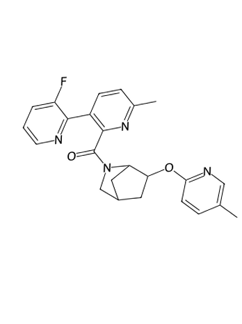 Cc1ccc(OC2CC3CC2N(C(=O)c2nc(C)ccc2-c2ncccc2F)C3)nc1